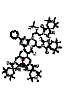 CC(=O)OC(CN1C(=O)NC2(CC(C)(C)N(C)C(C)(C)C2)C1=O)CN(CC(CN1C(=O)NC2(CC(C)(C)N(C)C(C)(C)C2)C1=O)OC(C)=O)c1nc(-c2ccccc2)nc(N(CC(CN2C(=O)NC3(CC(C)(C)N(C)C(C)(C)C3)C2=O)OC(C)=O)CC(CN2C(=O)NC3(CC(C)(C)N(C)C(C)(C)C3)C2=O)OC(C)=O)n1